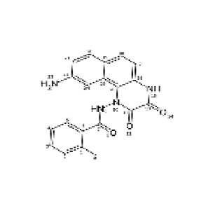 Cc1ccccc1C(=O)Nn1c(=O)c(=O)[nH]c2ccc3ccc(N)cc3c21